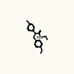 C=C(NCC)C(Cc1ccc(CC)cc1)c1ccc(C)cc1